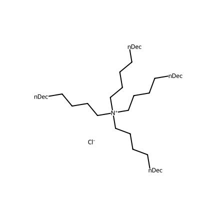 CCCCCCCCCCCCCC[N+](CCCCCCCCCCCCCC)(CCCCCCCCCCCCCC)CCCCCCCCCCCCCC.[Cl-]